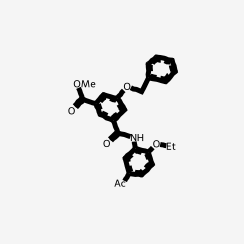 CCOc1ccc(C(C)=O)cc1NC(=O)c1cc(OCc2ccccc2)cc(C(=O)OC)c1